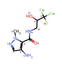 Cn1ncc(N)c1C(=O)NCC(O)C(F)(F)F